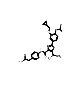 C[C@H](N)c1oc(-c2ccc(OC(F)F)c(OCC3CC3)c2)nc1C(=O)Nc1ccc(CC(N)=O)cc1